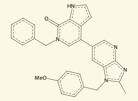 COc1ccc(Cn2c(C)nc3ncc(-c4cn(Cc5ccccc5)c(=O)c5[nH]ccc45)cc32)cc1